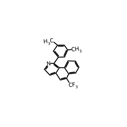 Cc1cc(C)cc(-c2nccc3cc(C(F)(F)F)c4ccccc4c23)c1